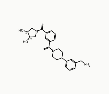 C=C(c1cccc(C(=C)N2C[C@@H](O)[C@@H](O)C2)c1)N1CCC(c2cccc(CN)c2)CC1